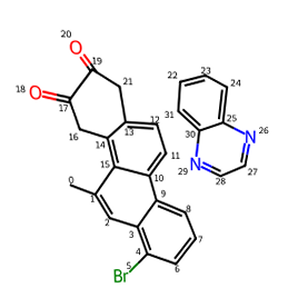 Cc1cc2c(Br)cccc2c2ccc3c(c12)CC(=O)C(=O)C3.c1ccc2nccnc2c1